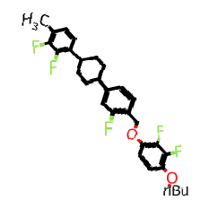 CCCCOc1ccc(OCc2ccc(C3CCC(c4ccc(C)c(F)c4F)CC3)cc2F)c(F)c1F